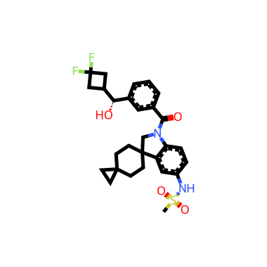 CS(=O)(=O)Nc1ccc2c(c1)C1(CCC3(CC3)CC1)CN2C(=O)c1cccc([C@H](O)C2CC(F)(F)C2)c1